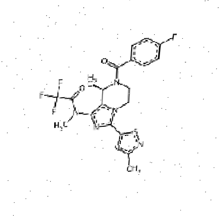 Cc1nsc(-c2nc(N(C)C(=O)C(F)(F)F)c3n2CCN(C(=O)c2ccc(F)cc2)[C@@H]3C)n1